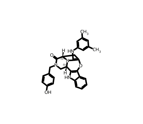 Cc1cc(C)cc(NC2=C3C[C@H]4C(=O)N(Cc5ccc(O)cc5)C[C@@H](c5[nH]c6ccccc6c5O3)N24)c1